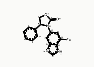 O=C1OCC(c2ccccc2)N1c1cc(F)c2[nH]cnc2c1